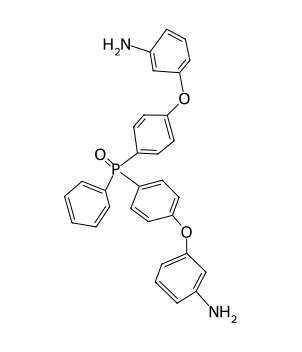 Nc1cccc(Oc2ccc(P(=O)(c3ccccc3)c3ccc(Oc4cccc(N)c4)cc3)cc2)c1